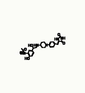 CS(=O)(=O)Nc1cc(C(O)CNC2CCN(c3ccc(/C=C4\NC(=O)NC4=O)cc3)CC2)ccc1O